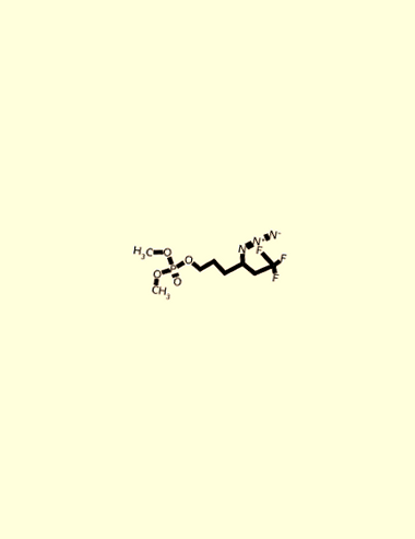 COP(=O)(OC)OCCCC(CC(F)(F)F)N=[N+]=[N-]